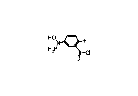 O=C(Cl)c1cc(N(O)P)ccc1F